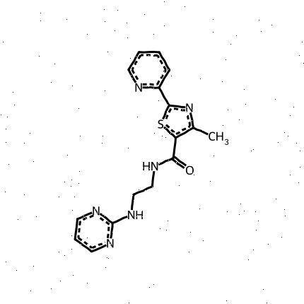 Cc1nc(-c2ccccn2)sc1C(=O)NCCNc1ncccn1